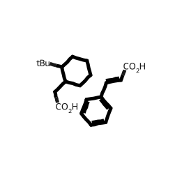 CC(C)(C)C1CCCCC1CC(=O)O.O=C(O)C=Cc1ccccc1